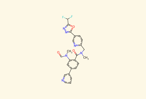 CN(Cc1ccc(-c2nnc(C(F)F)o2)cn1)C(=O)c1ccc(-c2cccnc2)cc1N(C)C=O